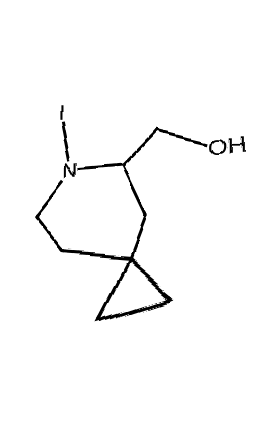 OCC1CC2(CCN1I)CC2